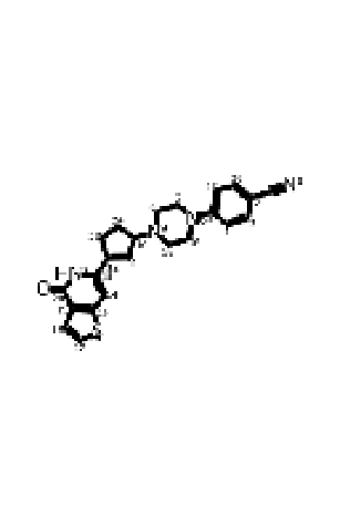 N#Cc1ccc(N2CCN(C3C=C(c4cc5sccc5c(=O)[nH]4)CC3)CC2)cc1